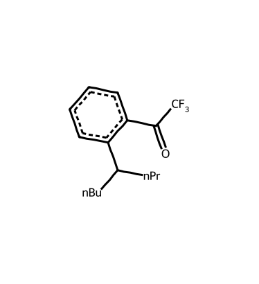 CCCCC(CCC)c1ccccc1C(=O)C(F)(F)F